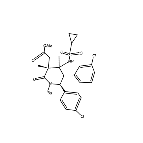 CCC(C)N1C(=O)[C@](C)(CC(=O)OC)C(C)(NS(=O)(=O)C2CC2)[C@H](c2cccc(Cl)c2)[C@H]1c1ccc(Cl)cc1